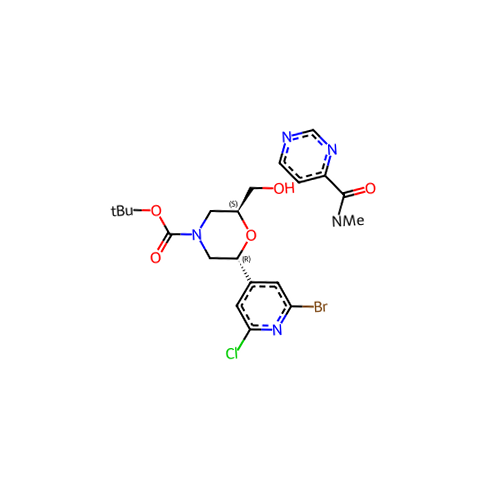 CC(C)(C)OC(=O)N1C[C@@H](CO)O[C@H](c2cc(Cl)nc(Br)c2)C1.CNC(=O)c1ccncn1